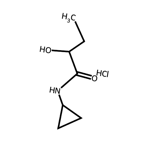 CCC(O)C(=O)NC1CC1.Cl